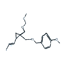 COCOCC1(COCc2ccc(OC)cc2)CC1/C=C/I